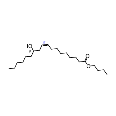 CCCCCC[C@@H](O)C/C=C\CCCCCCCC(=O)OCCCC